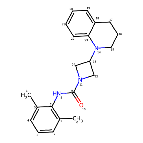 Cc1cccc(C)c1NC(=O)N1CC(N2CCCc3ccccc32)C1